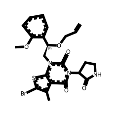 C=CCO[C@@H](Cn1c(=O)n(C2CCNC2=O)c(=O)c2c(C)c(Br)sc21)c1ccccc1OC